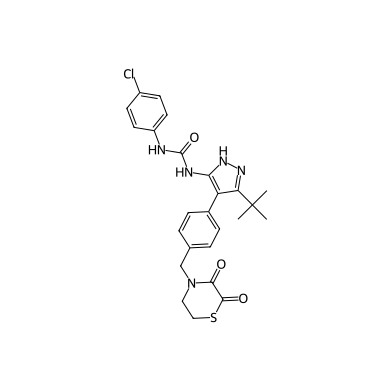 CC(C)(C)c1n[nH]c(NC(=O)Nc2ccc(Cl)cc2)c1-c1ccc(CN2CCSC(=O)C2=O)cc1